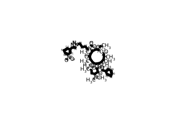 CC[C@H]1OC(=O)[C@H](C)[C@@H](O)[C@H](C)[C@@H](O[C@@H]2O[C@H](C)C[C@H](N(C)C)[C@H]2OC(=O)c2ccccc2)[C@@](C)(OC)C[C@@H](C)C(=O)[C@H](C)C2N(CCCCn3cc(-c4cccc([N+](=O)[O-])c4)nn3)C(=O)O[C@@]21C